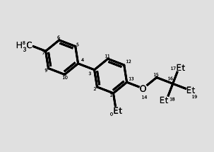 CCc1cc(-c2ccc(C)cc2)ccc1OCC(CC)(CC)CC